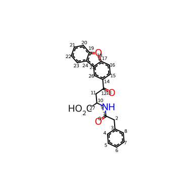 O=C(Cc1ccccc1)NC(CC(=O)c1ccc2oc3ccccc3c2c1)C(=O)O